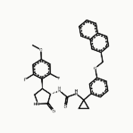 COc1cc(F)c([C@@H]2CNC(=O)[C@H]2NC(=O)NC2(c3cccc(OCc4ccc5ccccc5c4)c3)CC2)c(F)c1